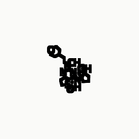 CN(CCC1CCOCC1)c1nc2c(c(NC3(CO)CCCC3)n1)[S+]([O-])CC2